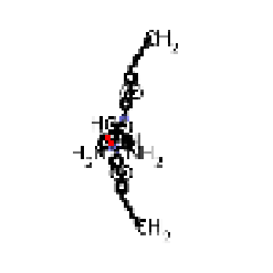 C=CCCCCCCC1CCC(C(=O)Oc2ccc(/C=C/C(=O)C(O)C(Cc3ccc(N)cc3)(Cc3ccc(N)cc3)C(O)C(=O)/C=C/c3ccc(OC(=O)C4CCC(CCCCCCC=C)CC4)cc3)cc2)CC1